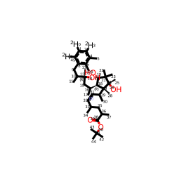 [2H]c1c([2H])c(C)c(C)c(CC(C)[C@](C)(O)CC(C)[C@H]2[C@H](O)C(C)(C)[C@](C)(O)[C@]2(C)C(C)/C=C\C(C)CC(C)C(=O)OC(C)(C)C)c1[2H]